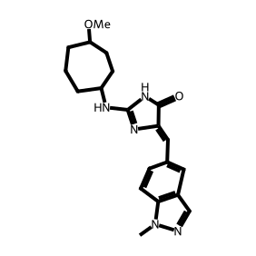 COC1CCCC(NC2=N/C(=C\c3ccc4c(cnn4C)c3)C(=O)N2)CC1